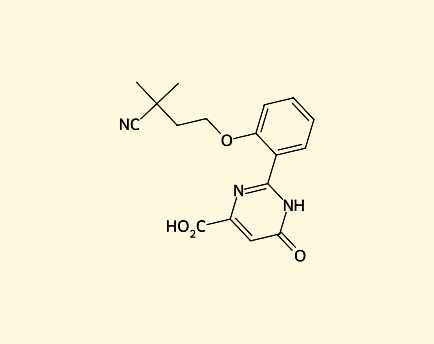 CC(C)(C#N)CCOc1ccccc1-c1nc(C(=O)O)cc(=O)[nH]1